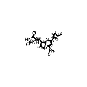 Cc1ccc(-c2cc(N(C)C)n3ncc(C=C4NC(=O)NC4=O)c3n2)s1